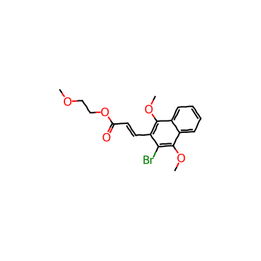 COCCOC(=O)C=Cc1c(Br)c(OC)c2ccccc2c1OC